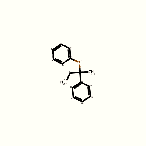 CCC(C)(Sc1ccccc1)c1ccccc1